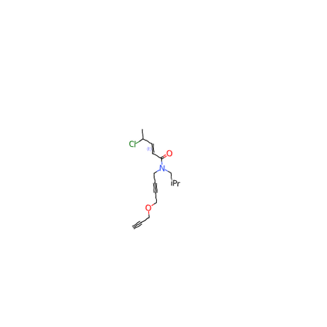 C#CCOCC#CCN(CC(C)C)C(=O)/C=C/C(C)Cl